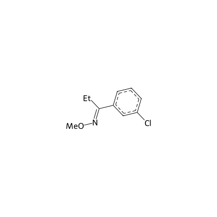 CCC(=NOC)c1cccc(Cl)c1